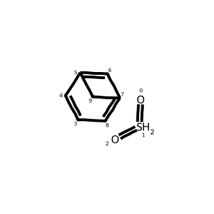 O=[SH2]=O.c1cc2cc(c1)C2